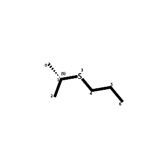 [CH2][C@@H](C)SCCC